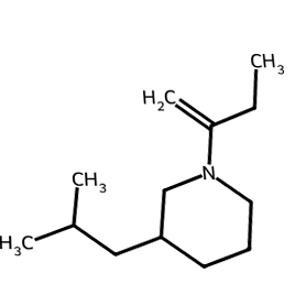 C=C(CC)N1CCCC(CC(C)C)C1